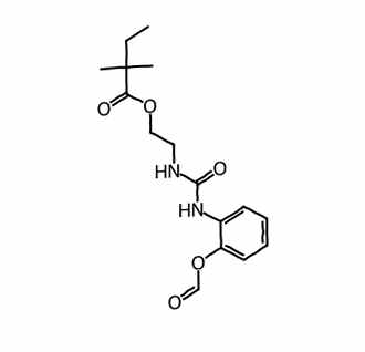 CCC(C)(C)C(=O)OCCNC(=O)Nc1ccccc1OC=O